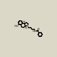 O=C(NCCCCN1CC[C@H]2c3cccc(O)c3CC[C@H]21)c1ccccc1